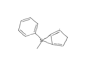 C[Si]1(c2ccccc2)C2=[C]CC=C21